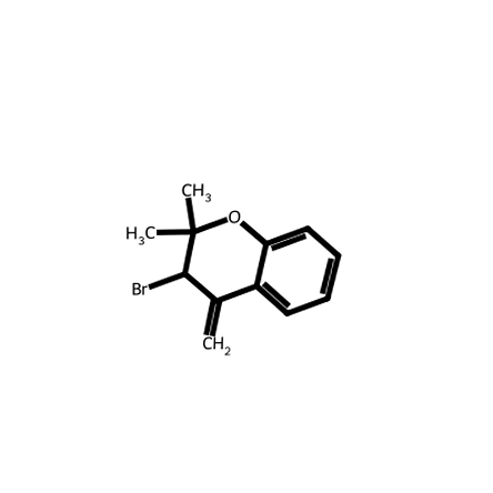 C=C1c2ccccc2OC(C)(C)C1Br